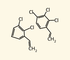 C=Cc1ccc(Cl)c(Cl)c1Cl.C=Cc1cccc(Cl)c1Cl